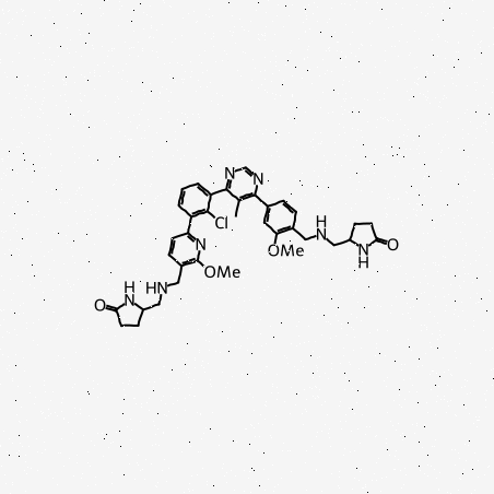 COc1cc(-c2ncnc(-c3cccc(-c4ccc(CNCC5CCC(=O)N5)c(OC)n4)c3Cl)c2C)ccc1CNCC1CCC(=O)N1